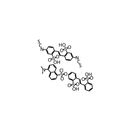 CN(C)c1cccc2c(S(=O)(=O)Cl)cccc12.O=S(=O)(O)c1cc(N=C=S)ccc1C=Cc1ccc(N=C=S)cc1S(=O)(=O)O.O=S(=O)(O)c1ccccc1C=Cc1ccccc1S(=O)(=O)O